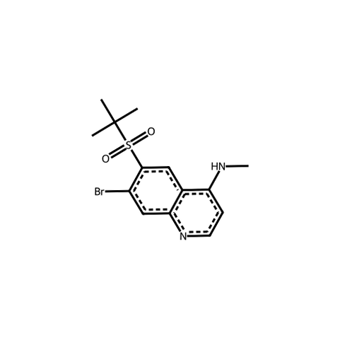 CNc1ccnc2cc(Br)c(S(=O)(=O)C(C)(C)C)cc12